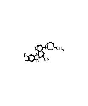 CN1CCCN(c2ccnc3c2cc(C#N)c2nc4cc(F)c(F)cc4n23)CC1